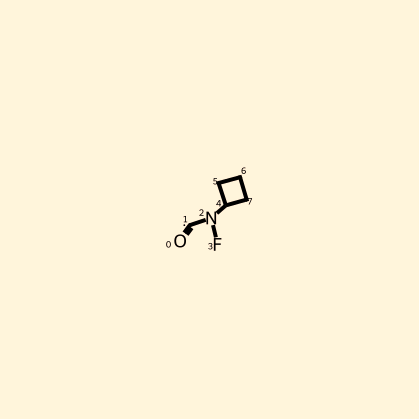 O=[C]N(F)C1CCC1